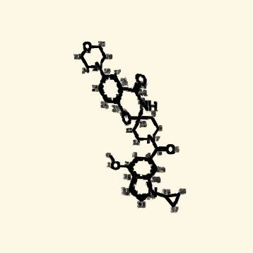 COc1cc(C(=O)N2CCC3(CC2)NC(=O)c2cc(N4CCOCC4)ccc2O3)cc2c1ccn2C1CC1